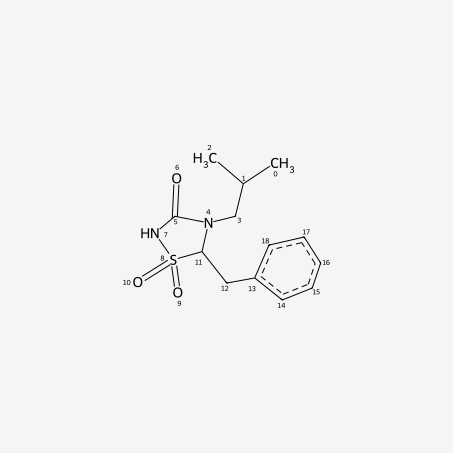 CC(C)CN1C(=O)NS(=O)(=O)C1Cc1ccccc1